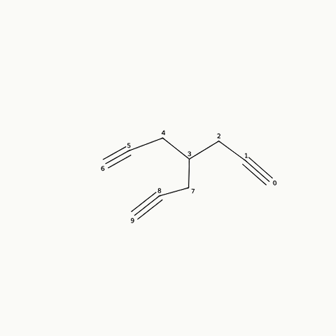 C#CCC(CC#C)CC#C